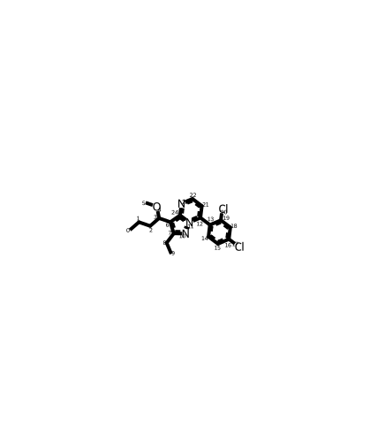 CCCC(OC)c1c(CC)nn2c(-c3ccc(Cl)cc3Cl)ccnc12